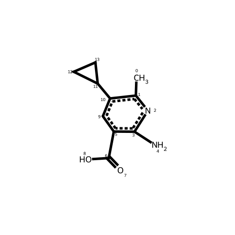 Cc1nc(N)c(C(=O)O)cc1C1CC1